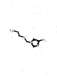 FC(F)(F)CCSCn1cnc(C(F)(F)F)c1